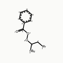 CCCCC(CC(C)C)OOC(=O)c1ccccc1